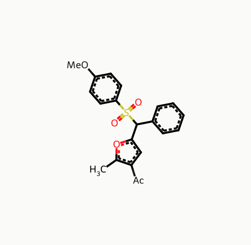 COc1ccc(S(=O)(=O)C(c2ccccc2)c2cc(C(C)=O)c(C)o2)cc1